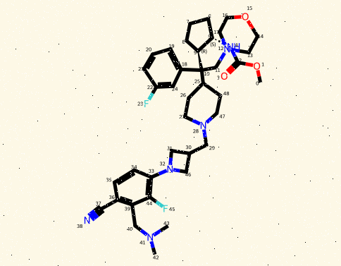 COC(=O)N[C@H]1CCC[C@@H]1C(CN1CCOCC1)(c1cccc(F)c1)C1CCN(CC2CN(c3ccc(C#N)c(CN(C)C)c3F)C2)CC1